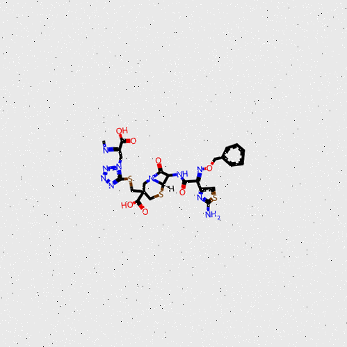 CN=C(Cn1nnnc1SCC1(C(=O)O)CS[C@@H]2C(NC(=O)C(=NOCc3ccccc3)c3csc(N)n3)C(=O)N2C1)C(=O)O